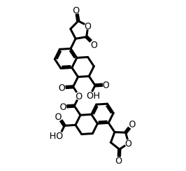 O=C1CC(c2cccc3c2CCC(C(=O)O)C3C(=O)OC(=O)C2c3cccc(C4CC(=O)OC4=O)c3CCC2C(=O)O)C(=O)O1